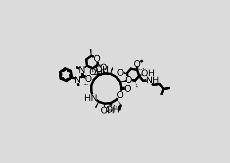 CC[C@H]1OC(=O)[C@H](C)[C@@H](O[C@H]2C[C@@](C)(OC)[C@](O)(CNCCC(C)C)[C@H](C)O2)[C@H](C)[C@@H](O[C@@H]2O[C@H](C)C[C@H](N(C)C(=O)N(C)c3ccccc3)[C@H]2O)[C@](C)(O)C[C@@H](C)CN[C@H](C)[C@@H](O)[C@]1(C)O